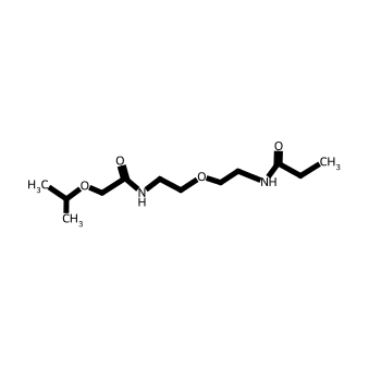 CCC(=O)NCCOCCNC(=O)COC(C)C